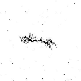 C=C[Si](C)(C)C(C)(C)CCOC(=O)OCCC(C)(C)[Si](C)(C)C=C